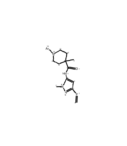 C=Pc1cc(NC(=O)C2(C)CCN(C(C)=O)CC2)n(C)n1